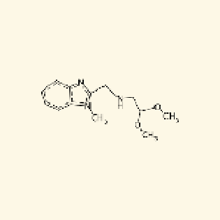 COC(CNCc1nc2ccccc2n1C)OC